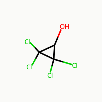 OC1C(Cl)(Cl)C1(Cl)Cl